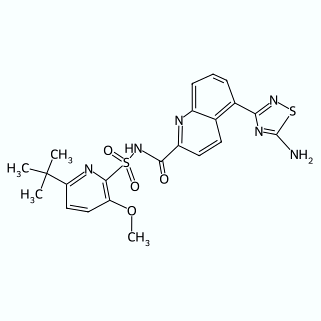 COc1ccc(C(C)(C)C)nc1S(=O)(=O)NC(=O)c1ccc2c(-c3nsc(N)n3)cccc2n1